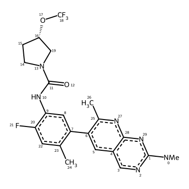 CNc1ncc2cc(-c3cc(NC(=O)N4CC[C@H](OC(F)(F)F)C4)c(F)cc3C)c(C)nc2n1